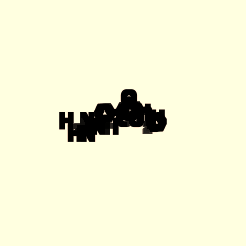 N=C(N)Nc1cccc(C(CP(=O)(O)CCCc2ccccc2)C(=O)O)c1